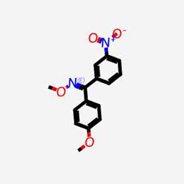 CO/N=C(\c1ccc(OC)cc1)c1cccc([N+](=O)[O-])c1